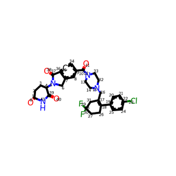 O=C1CCC(N2Cc3cc(C(=O)N4CCN(CC5=C(c6ccc(Cl)cc6)CCC(F)(F)C5)CC4)ccc3C2=O)C(=O)N1